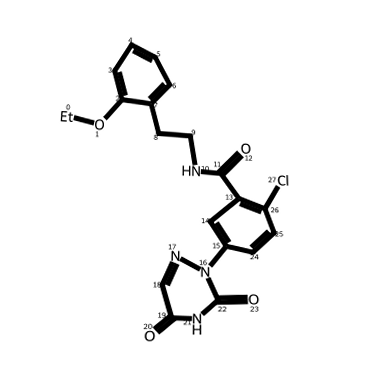 CCOc1ccccc1CCNC(=O)c1cc(-n2ncc(=O)[nH]c2=O)ccc1Cl